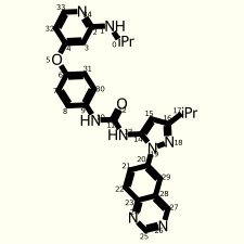 CC(C)Nc1cc(Oc2ccc(NC(=O)Nc3cc(C(C)C)nn3-c3ccc4ncncc4c3)cc2)ccn1